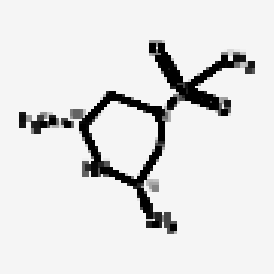 C[C@@H]1CN(S(C)(=O)=O)C[C@@H](C)N1